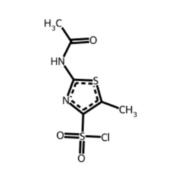 CC(=O)Nc1nc(S(=O)(=O)Cl)c(C)s1